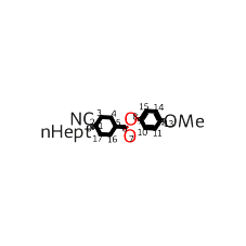 CCCCCCCC1(C#N)CCC(C(=O)Oc2ccc(OC)cc2)CC1